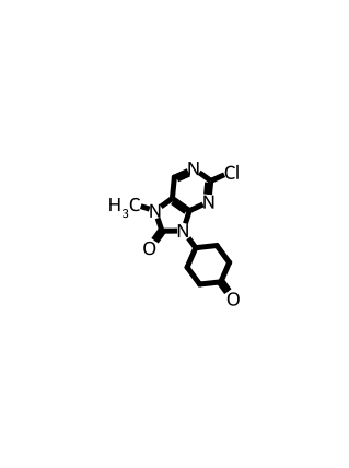 Cn1c(=O)n(C2CCC(=O)CC2)c2nc(Cl)ncc21